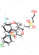 O=S(=O)(CCCO)CC[C@@H]1OCC[C@@]2(S(=O)(=O)c3ccc(Cl)cc3)c3c(F)ccc(F)c3OC[C@@H]12